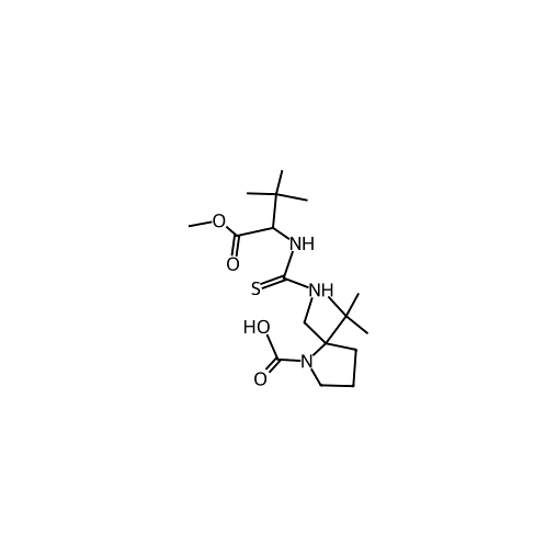 COC(=O)C(NC(=S)NCC1(C(C)(C)C)CCCN1C(=O)O)C(C)(C)C